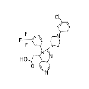 O=C(O)CC1c2ccncc2N=C(N2CCN(c3cccc(Cl)c3)CC2)N1c1cccc(C(F)(F)F)c1